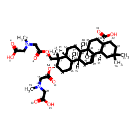 CN(CC(=O)O)CC(=O)OCC1(C)[C@@H](OC(=O)CN(C)CC(=O)O)CC[C@]2(C)[C@H]3CC=C4[C@@H]5CC(C)(C)CC[C@]5(C(=O)O)CC[C@@]4(C)[C@]3(C)CC[C@@H]12